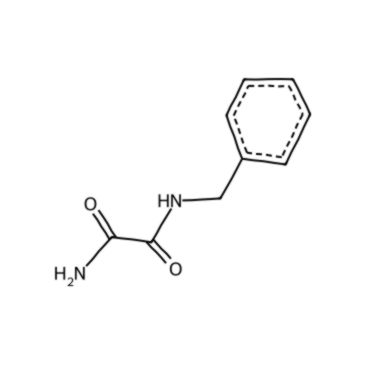 NC(=O)C(=O)NCc1ccccc1